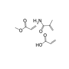 C=C(C)C(N)=O.C=CC(=O)O.C=CC(=O)OC